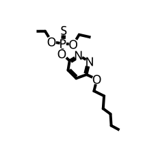 CCCCCCOc1ccc(OP(=S)(OCC)OCC)nn1